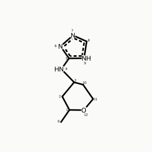 CC1CC(Nc2nnc[nH]2)CCO1